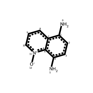 Nc1ccc(N)c2c1ccc[n+]2[O-]